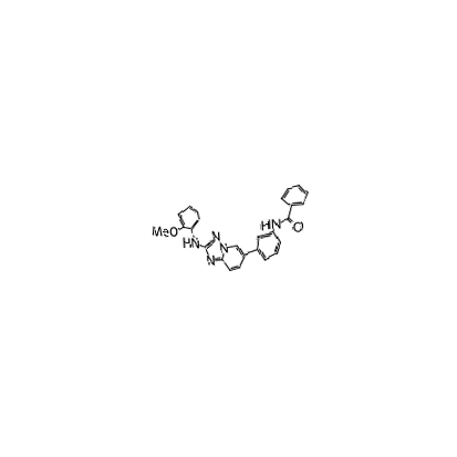 COc1ccccc1Nc1nc2ccc(-c3cccc(NC(=O)c4ccccc4)c3)cn2n1